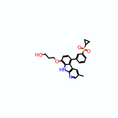 Cc1cnc2[nH]c3c(OCCCO)ccc(-c4cccc(S(=O)(=O)C5CC5)c4)c3c2c1